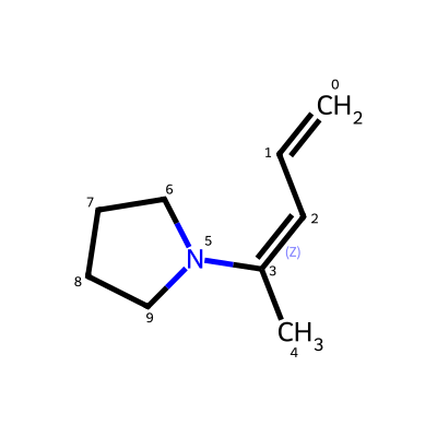 C=C/C=C(/C)N1CCCC1